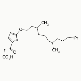 CC(C)CCCC(C)CCCC(C)CCOc1ccc(C(=O)CC(=O)O)s1